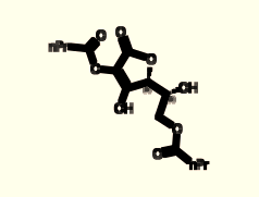 CCCC(=O)OC[C@@H](O)[C@H]1OC(=O)C(OC(=O)CCC)=C1O